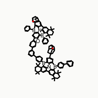 CC1(C)CCC(C)(C)c2c1cc1c3cc4c(c5c3n3c1c2B(c1ccccc1)c1c-3c(cc2c1oc1cc(-c3cccc(-c6ccc(B7c8cc(C9%10CC%11CC(CC(C%11)C9)C%10)cc9c8-n8c%10c(c%11c(cc%10c%10cc%12c(c7c%108)C(C)(C)CCC%12(C)C)C(C)(C)CCC%11(C)C)B9c7ccc(-c8ccccc8)cc7)cc6)c3)ccc12)B5c1ccccc1)C1CCC4CC1